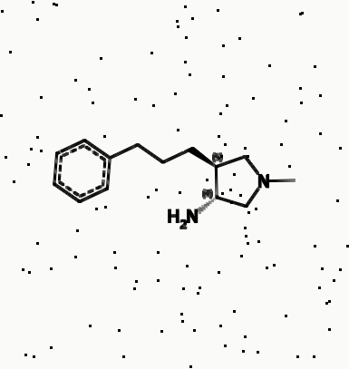 CN1C[C@H](CCCc2ccccc2)[C@@H](N)C1